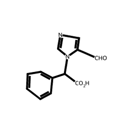 O=Cc1cncn1C(C(=O)O)c1ccccc1